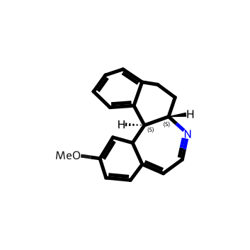 COC1=CC2C(=CC=N[C@H]3CCc4ccccc4[C@H]23)C=C1